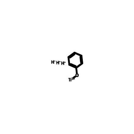 [H-].[H-].[H-].[Ti+3][O]c1ccccc1